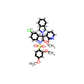 COc1ccc(S(=O)(=O)N2C(=O)C(c3cccnc3OC)(N3Cc4ccccc4C3)c3cc(Cl)ccc32)c(OC)c1